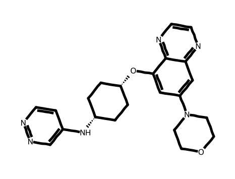 c1cc(N[C@H]2CC[C@@H](Oc3cc(N4CCOCC4)cc4nccnc34)CC2)cnn1